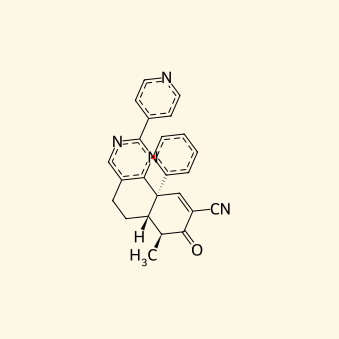 C[C@@H]1C(=O)C(C#N)=C[C@]2(c3ccccc3)c3nc(-c4ccncc4)ncc3CC[C@@H]12